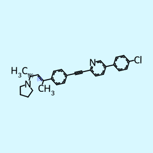 C/C(=C\[C@@H](C)N1CCCC1)c1ccc(C#Cc2ccc(-c3ccc(Cl)cc3)cn2)cc1